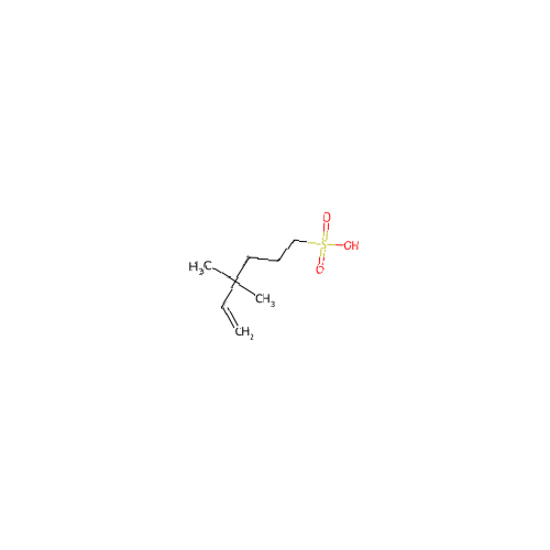 C=CC(C)(C)CCCS(=O)(=O)O